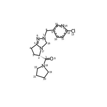 O=C([C@@H]1CCC2=NN(Cc3ccc(Cl)nc3)CN21)N1CCCC1